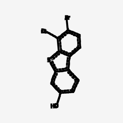 CCc1c(Br)ccc2c1sc1cc(O)ccc12